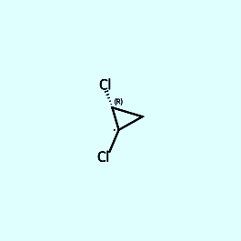 Cl[C]1C[C@H]1Cl